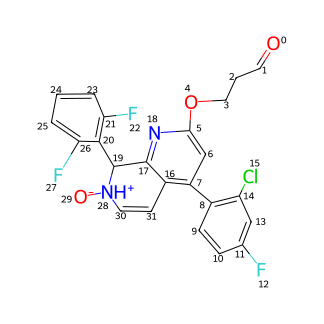 O=CCCOc1cc(-c2ccc(F)cc2Cl)c2c(n1)C(c1c(F)cccc1F)[NH+]([O-])C=C2